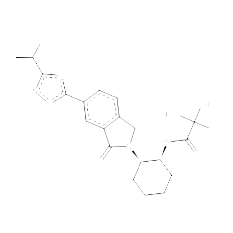 CC(C)(C(=O)N[C@H]1CCCC[C@H]1N1Cc2ccc(-c3nnc(C(F)F)o3)cc2C1=O)C(F)(F)F